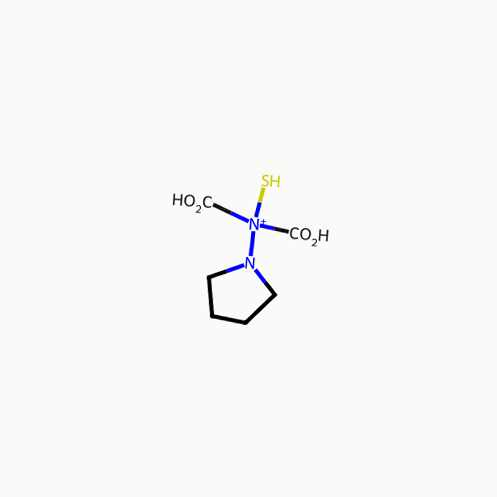 O=C(O)[N+](S)(C(=O)O)N1CCCC1